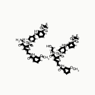 COc1cccc(C(=O)NCc2cc(C(=O)NCCO)c(S(=O)(=O)N3CCC(Nc4cccc(S(=O)(=O)C(F)(F)F)c4)CC3)s2)c1.COc1cccc(C(=O)NCc2cc(C(=O)NN)c(S(=O)(=O)N3CCC(Nc4cccc(S(=O)(=O)C(F)(F)F)c4)CC3)s2)c1